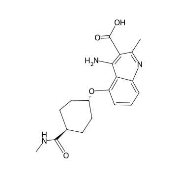 CNC(=O)[C@H]1CC[C@H](Oc2cccc3nc(C)c(C(=O)O)c(N)c23)CC1